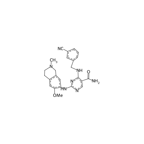 COc1cc2c(cc1Nc1ncc(C(N)=O)c(NCc3cccc(C#N)c3)n1)CN(C)CC2